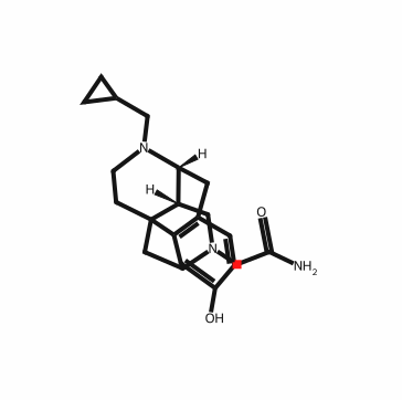 NC(=O)CN1CCC23CCN(CC4CC4)[C@H](Cc4ccc(O)cc42)[C@@H]3C1